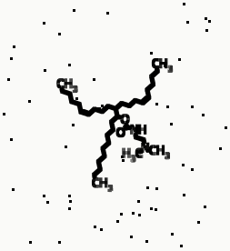 CCCCC/C=C\CCCC(CCC/C=C\CCCCC)C(CCCCCCCCCC)OC(=O)NCCN(C)C